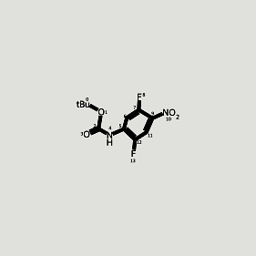 CC(C)(C)OC(=O)Nc1cc(F)c([N+](=O)[O-])cc1F